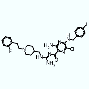 N/C(=N\C(=O)c1nc(Cl)c(NCc2ccc(I)cc2)nc1N)NCC1CCN(CCc2ccccc2F)CC1